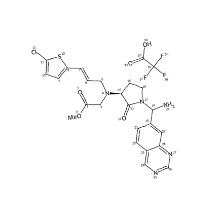 COC(=O)CN(CC=Cc1ccc(Cl)s1)[C@H]1CCN(C(N)c2ccc3cncnc3c2)C1=O.O=C(O)C(F)(F)F